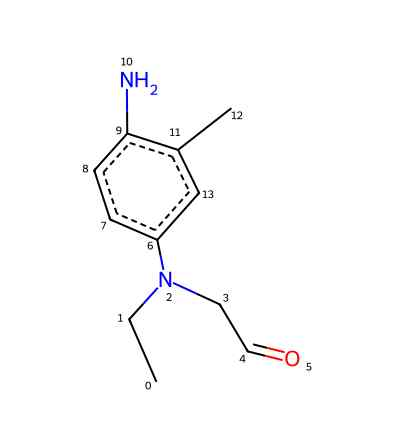 CCN(CC=O)c1ccc(N)c(C)c1